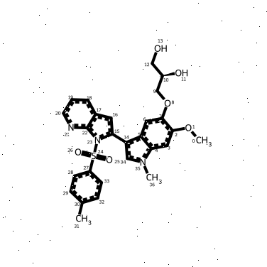 COc1cc2c(cc1OC[C@H](O)CO)c(-c1cc3cccnc3n1S(=O)(=O)c1ccc(C)cc1)cn2C